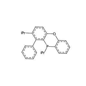 CC(C)c1ccc2c(c1-c1ccccc1)P(C(C)C)c1ccccc1O2